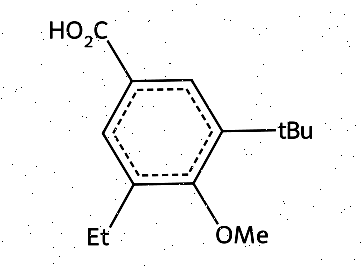 CCc1cc(C(=O)O)cc(C(C)(C)C)c1OC